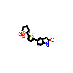 CN1C(=O)Cc2cc(-c3ccc([C]4CCCCS4(=O)=O)s3)ccc21